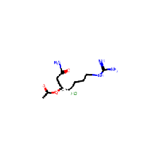 CC(=O)O[C@@H](CCCCNC(=N)N)CC(N)=O.Cl